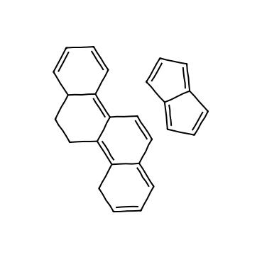 C1=CC2=CC=CC2=C1.C1=CCc2c3c(ccc2=C1)=C1C=CC=CC1CC3